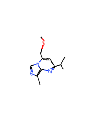 COCc1cc(C(C)C)nc2c(C)ncn12